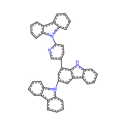 c1ccc2c(c1)[nH]c1c(-c3ccc(-n4c5ccccc5c5ccccc54)nc3)cc(-n3c4ccccc4c4ccccc43)cc12